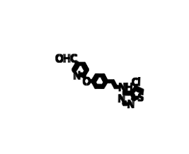 O=Cc1ccc(Oc2ccc(CCNc3ncnc4scc(Cl)c34)cc2)nc1